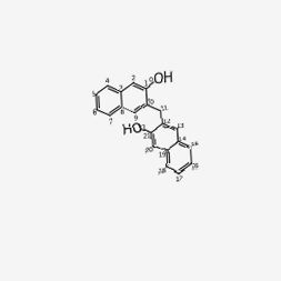 Oc1cc2ccccc2cc1Cc1cc2ccccc2cc1O